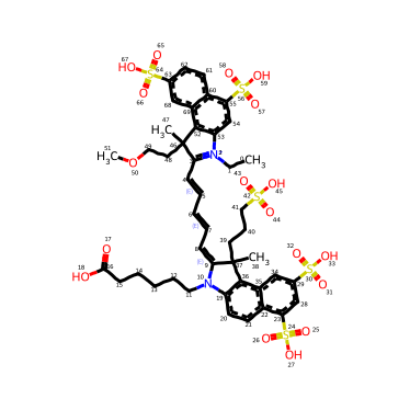 CC[N+]1=C(/C=C/C=C/C=C2/N(CCCCCC(=O)O)c3ccc4c(S(=O)(=O)O)cc(S(=O)(=O)O)cc4c3C2(C)CCCS(=O)(=O)O)C(C)(CCOC)c2c1cc(S(=O)(=O)O)c1ccc(S(=O)(=O)O)cc21